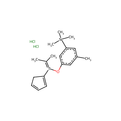 C[C](C)=[Ti]([O]c1cc(C)cc([Si](C)(C)C)c1)[C]1=CC=CC1.Cl.Cl